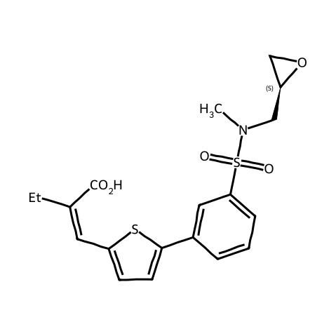 CCC(=Cc1ccc(-c2cccc(S(=O)(=O)N(C)C[C@H]3CO3)c2)s1)C(=O)O